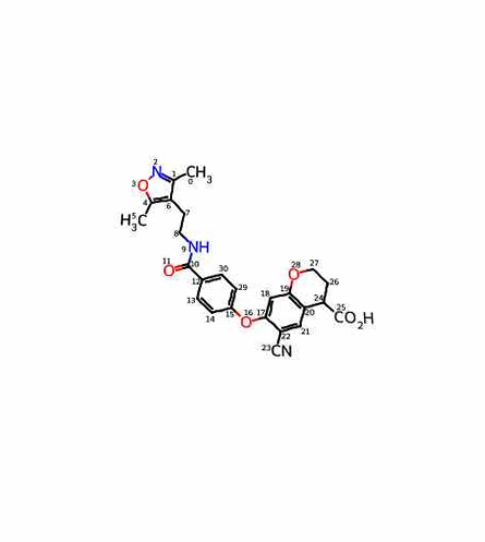 Cc1noc(C)c1CCNC(=O)c1ccc(Oc2cc3c(cc2C#N)C(C(=O)O)CCO3)cc1